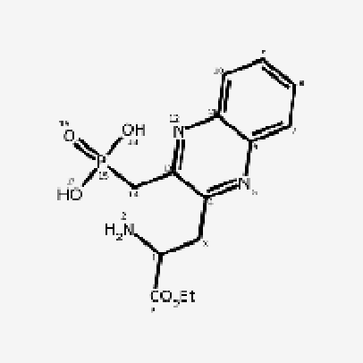 CCOC(=O)C(N)Cc1nc2ccccc2nc1CP(=O)(O)O